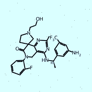 Cc1nc(N[C@H](C)c2cc(N)cc(C(F)(F)F)c2)c2c(n1)C1(CCN(CCO)C1)C(=O)N(c1ccccc1F)C2